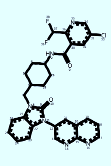 O=C(NC1CCC(Cn2c(=O)n(-c3cnc4ncccc4c3)c3ccccc32)CC1)c1cc(Cl)cnc1C(F)F